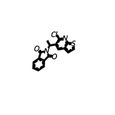 CC(c1cc2ccsc2nc1Cl)N1C(=O)c2ccccc2C1=O